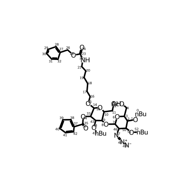 CCCCOC1C(COC(C)=O)OC(OC2C(CO)OC(OCCCCCCNC(=O)OCc3ccccc3)C(OC(=O)c3ccccc3)C2OCCCC)C(N=[N+]=[N-])C1OCCCC